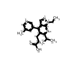 CCn1ncc2c(-c3cncc(C)c3)c(CCC(=O)O)c(C(C)C)nc21